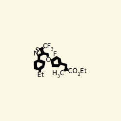 CCOC(=O)C(C)Cc1ccc(OCc2c(-c3ccc(CC)cc3)nsc2C(F)(F)F)c(F)c1